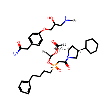 CC(C)NCC(O)COc1ccc(CC(N)=O)cc1.CCC(=O)OC(O[P@](=O)(CCCCc1ccccc1)CC(=O)N1C[C@H](C2CCCCC2)C[C@H]1C(=O)O)C(C)C